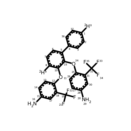 [2H]c1ccc(-c2ccc([2H])c(Oc3ccc(N)cc3C(F)(F)F)c2Oc2ccc(N)cc2C(F)(F)F)cc1